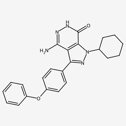 Nc1n[nH]c(=O)c2c1c(-c1ccc(Oc3ccccc3)cc1)nn2C1CCCCC1